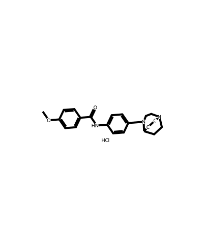 COc1ccc(C(=O)Nc2ccc(N3CCN4CCC3CC4)cc2)cc1.Cl